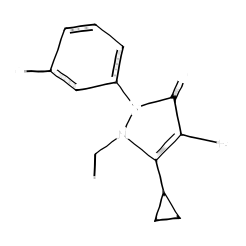 CCn1c(C2CC2)c(Br)c(=O)n1-c1cccc(Cl)c1